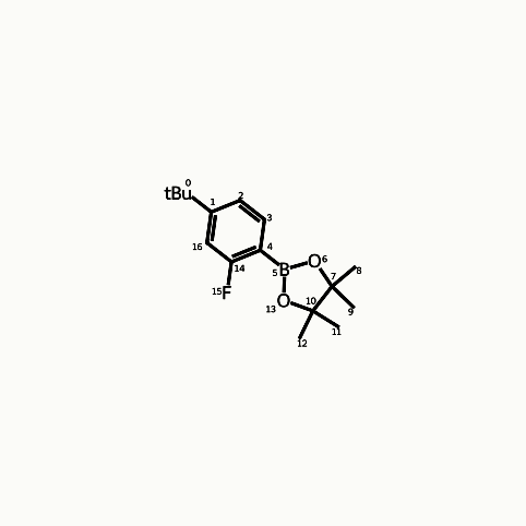 CC(C)(C)c1ccc(B2OC(C)(C)C(C)(C)O2)c(F)c1